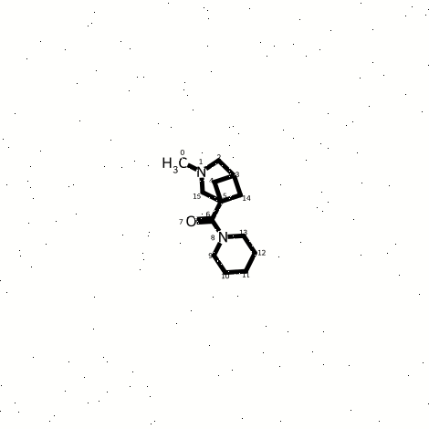 CN1CC2CC(C(=O)N3CCCCC3)(C2)C1